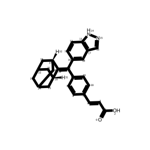 O=C(O)/C=C/c1ccc(C(c2ccc3[nH]ncc3c2)=C2[C@H]3CC4CC(C3)C[C@@H]2C4)cc1